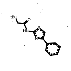 CC(C)(C)CC(=O)Nc1nc(-c2ccccc2)cs1